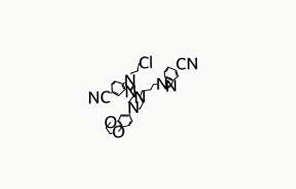 N#Cc1ccc2c(c1)ncn2CCCCl.N#Cc1ccc2c(c1)ncn2CCCN1CCN(c2ccc3c(c2)OCCO3)CC1